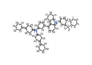 CC1(C)c2ccccc2-c2ccc(-n3c4ccccc4c4c(-c5cccc(N(c6ccc(-c7ccccc7)cc6)c6ccc(-c7ccccc7)cc6)c5)cccc43)cc21